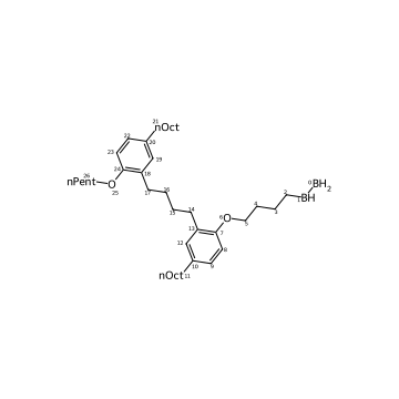 BBCCCCOc1ccc(CCCCCCCC)cc1CCCCc1cc(CCCCCCCC)ccc1OCCCCC